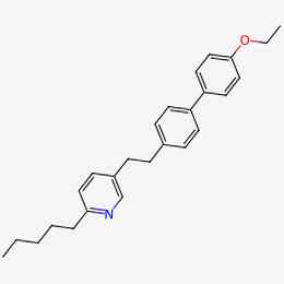 CCCCCc1ccc(CCc2ccc(-c3ccc(OCC)cc3)cc2)cn1